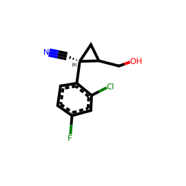 N#C[C@]1(c2ccc(F)cc2Cl)CC1CO